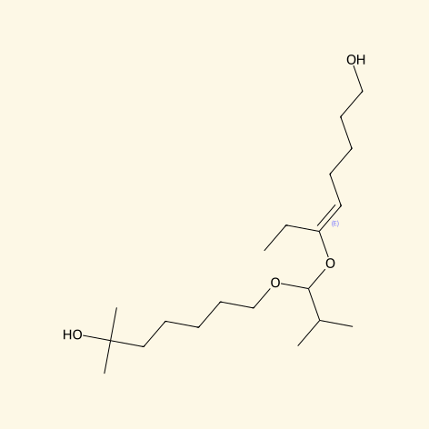 CC/C(=C\CCCCO)OC(OCCCCCC(C)(C)O)C(C)C